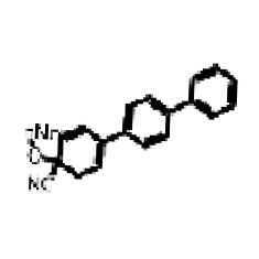 CCCCCCCCCOC1(C#N)C=CC(c2ccc(-c3ccccc3)cc2)=CC1